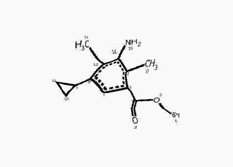 Cc1c(C(=O)OC(C)C)cc(C2CC2)c(C)c1N